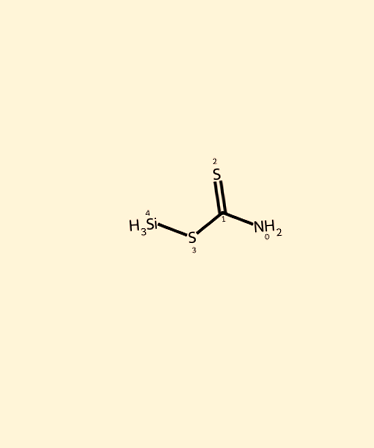 NC(=S)S[SiH3]